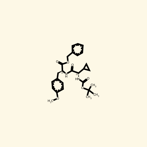 COc1ccc(C[C@H](NC(=O)[C@@H](NC(=O)OC(C)(C)C)C2CC2)C(=O)OCc2ccccc2)cc1